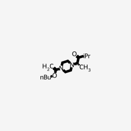 C=C(OCCCC)N1CCN([C@H](C)C(=O)C(C)C)CC1